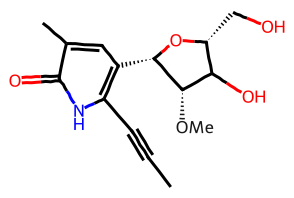 CC#Cc1[nH]c(=O)c(C)cc1[C@@H]1O[C@H](CO)C(O)[C@@H]1OC